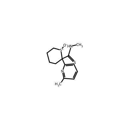 CNC(=S)C1(c2cccc(C)n2)CCCC[S+]1[O-]